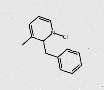 CC1=CC=CN(Cl)C1Cc1ccccc1